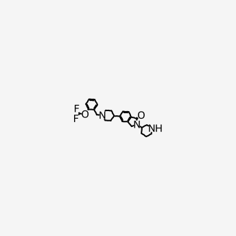 O=C1c2ccc(C3CCN(Cc4ccccc4OC(F)F)CC3)cc2CN1C1CCCNC1